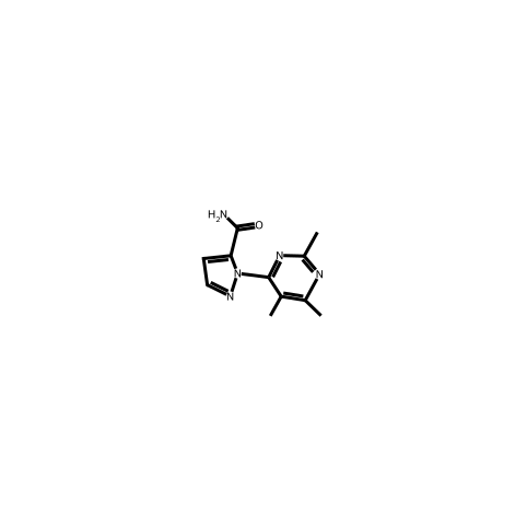 Cc1nc(C)c(C)c(-n2nccc2C(N)=O)n1